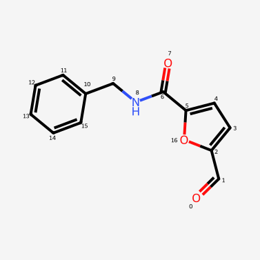 O=Cc1ccc(C(=O)NCc2ccccc2)o1